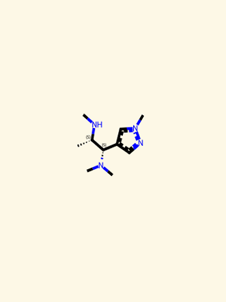 CN[C@@H](C)[C@H](c1cnn(C)c1)N(C)C